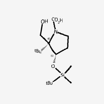 CC(C)(C)[C@@]1(CO)[C@@H](O[Si](C)(C)C(C)(C)C)CCN1C(=O)O